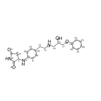 O=C1NC(=O)C(Nc2ccc(CCNCC(O)COc3ccccc3)cc2)S1